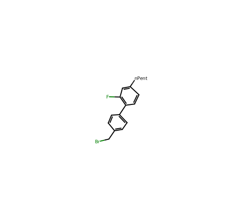 CCCCCc1ccc(-c2ccc(CBr)cc2)c(F)c1